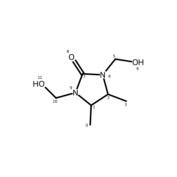 CC1C(C)N(CO)C(=O)N1CO